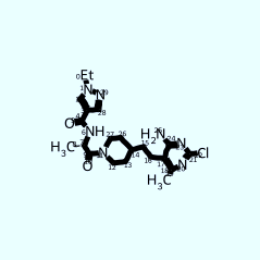 CCn1cc(C(=O)N[C@@H](C)C(=O)N2CCC(CCc3c(C)nc(Cl)nc3N)CC2)cn1